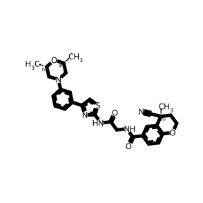 C[C@@H]1CN(c2cccc(-c3csc(NC(=O)CNC(=O)c4ccc5c(c4)[C@@](C)(C#N)CCO5)n3)c2)C[C@H](C)O1